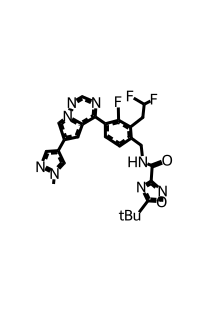 Cn1cc(-c2cc3c(-c4ccc(CNC(=O)c5noc(C(C)(C)C)n5)c(CC(F)F)c4F)ncnn3c2)cn1